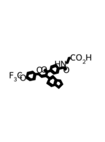 O=C(O)CCNC(=O)c1ccc(C(=O)/C(=C\C(=O)c2ccc(OC(F)(F)F)cc2)c2ccc3c(c2)CCC3)cc1